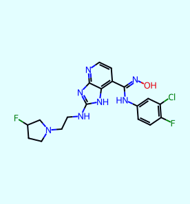 O/N=C(\Nc1ccc(F)c(Cl)c1)c1ccnc2nc(NCCN3CCC(F)C3)[nH]c12